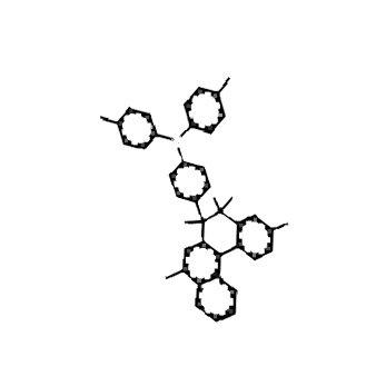 Cc1ccc(N(c2ccc(C)cc2)c2ccc(C3(C)c4cc(C)c5ccccc5c4-c4ccc(C)cc4C3(C)C)cc2)cc1